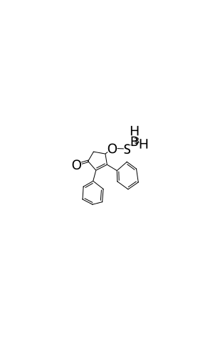 [3H]BSOC1CC(=O)C(c2ccccc2)=C1c1ccccc1